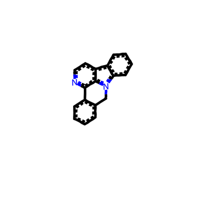 c1ccc2c(c1)Cn1c3ccccc3c3ccnc-2c31